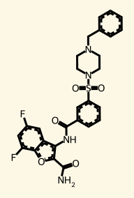 NC(=O)c1oc2c(F)cc(F)cc2c1NC(=O)c1cccc(S(=O)(=O)N2CCN(Cc3ccccc3)CC2)c1